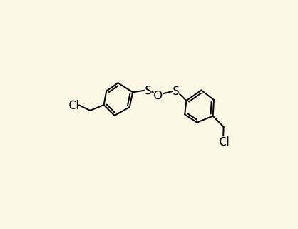 ClCc1ccc(SOSc2ccc(CCl)cc2)cc1